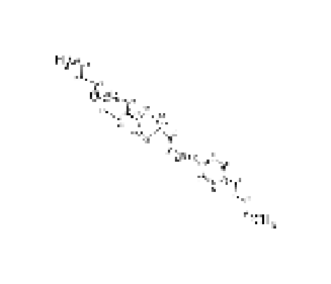 CCCCCc1ccc(C#CC=C[C@H]2CC[C@H](c3ccc(OCCCC)cc3)CC2)cc1